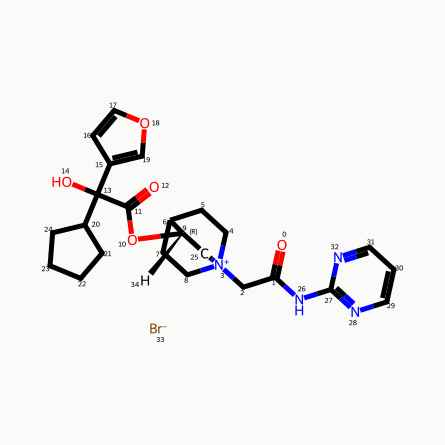 O=C(C[N+]12CCC(CC1)[C@@H](OC(=O)C(O)(c1ccoc1)C1CCCC1)C2)Nc1ncccn1.[Br-]